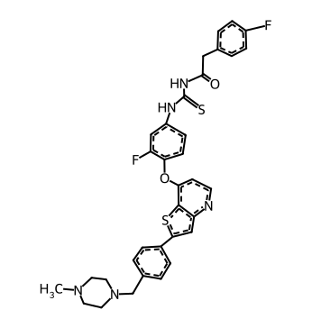 CN1CCN(Cc2ccc(-c3cc4nccc(Oc5ccc(NC(=S)NC(=O)Cc6ccc(F)cc6)cc5F)c4s3)cc2)CC1